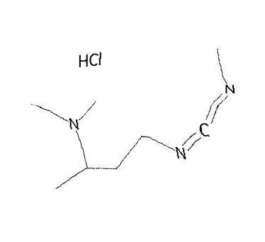 CN=C=NCCC(C)N(C)C.Cl